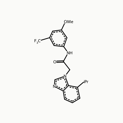 COc1cc(NC(=O)Cn2cnc3cccc(C(C)C)c32)cc(C(F)(F)F)c1